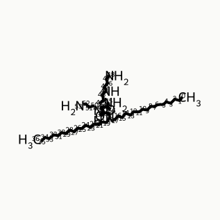 CCCCCCCCCCCCCCCCCCN(CCCCCCCCCCCCCCCCCC)CC(=O)[C@](CCCNCCCN)(NCCCN)C(N)=O